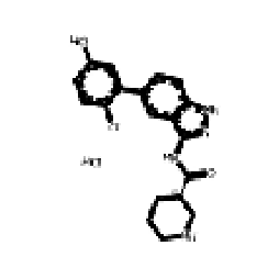 Cl.O=C(Nc1n[nH]c2ccc(-c3cc(O)ccc3Cl)cc12)[C@@H]1CCCNC1